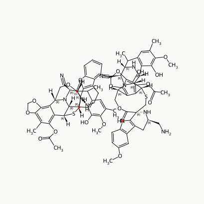 COc1ccc2[nH]c3c(c2c1)C[C@H](CN)N[C@]31CS[C@@H]2c3c(OC(C)=O)c(C)c4c(c3[C@H](COC1=O)N1[C@@H]2[C@@H]2N[C@@H](C(C)c3cc(C)c(OC)c(O)c32)[C@@H]1C#N)OC(c1cccc2oc3c(c12)CCN[C@]31CS[C@@H]2c3c(OC(C)=O)c(C)c5c(c3[C@H](COC1=O)N1[C@@H]2[C@@H]2N[C@@H](C(C)c3cc(C)c(OC)c(O)c32)[C@@H]1C#N)OCO5)O4